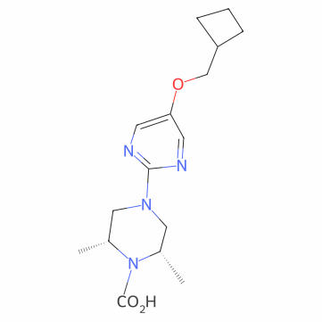 C[C@@H]1CN(c2ncc(OCC3CCC3)cn2)C[C@H](C)N1C(=O)O